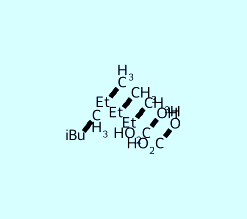 CCC.CCC.CCC.CCC(C)C.O=C(O)O.O=C(O)O